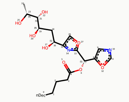 CCCCCCCCCCCCCC(=O)O[C@@H](c1cnco1)c1nc([C@@H](O)C[C@@H](O)[C@@H](O)[C@@H](C)O)co1